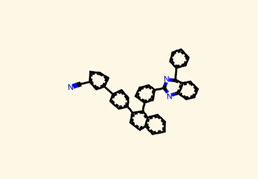 N#Cc1cccc(-c2ccc(-c3ccc4ccccc4c3-c3cccc(-c4nc(-c5ccccc5)c5ccccc5n4)c3)cc2)c1